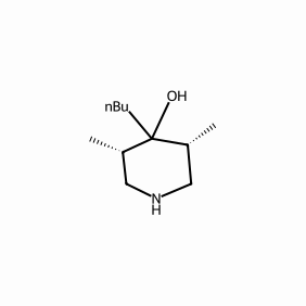 CCCCC1(O)[C@H](C)CNC[C@@H]1C